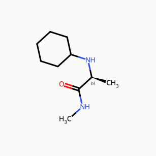 CNC(=O)[C@H](C)NC1CCCCC1